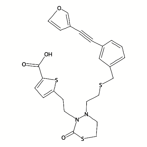 O=C(O)c1ccc(CCN2C(=O)SCCN2CCSCc2cccc(C#Cc3ccoc3)c2)s1